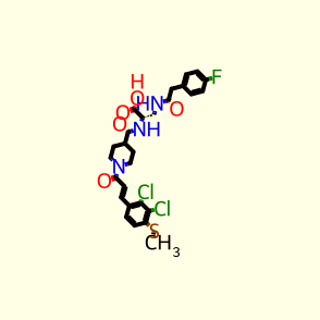 CSc1ccc(/C=C/C(=O)N2CCC(C(=O)N[C@@H](CNC(=O)Cc3ccc(F)cc3)C(=O)O)CC2)c(Cl)c1Cl